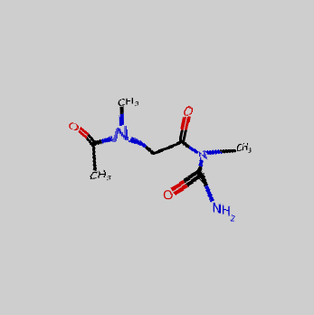 CC(=O)N(C)CC(=O)N(C)C(N)=O